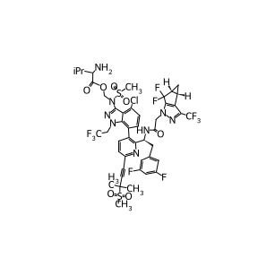 CC(C)C(N)C(=O)OCN(c1nn(CC(F)(F)F)c2c(-c3ccc(C#CC(C)(C)S(C)(=O)=O)nc3[C@H](Cc3cc(F)cc(F)c3)NC(=O)Cn3nc(C(F)(F)F)c4c3C(F)(F)[C@@H]3C[C@H]43)ccc(Cl)c12)S(C)(=O)=O